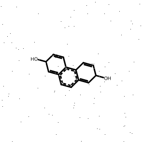 OC1C=Cc2c3c(ccc2=C1)=CC(O)C=C3